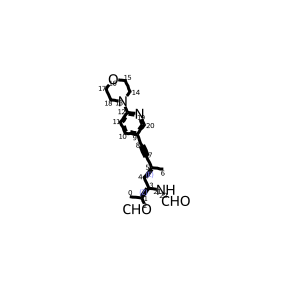 C/C(C=O)=C(\C=C(/C)C#Cc1ccc(N2CCOCC2)nc1)NC=O